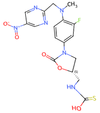 CN(Cc1ncc([N+](=O)[O-])cn1)c1ccc(N2C[C@H](CNC(O)=S)OC2=O)cc1F